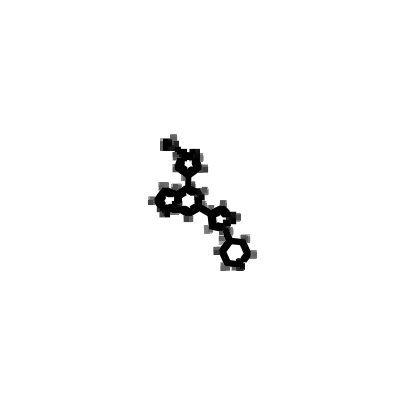 CCC(C)n1cc(-c2nc(-c3cnn(C4CCSCC4)c3)cn3nccc23)cn1